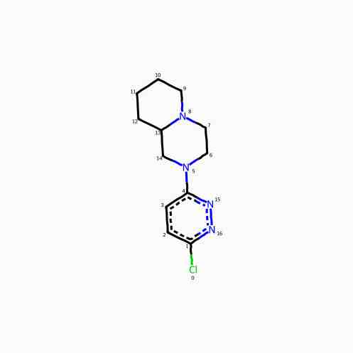 Clc1ccc(N2CCN3CCCCC3C2)nn1